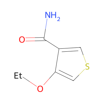 CCOc1cscc1C(N)=O